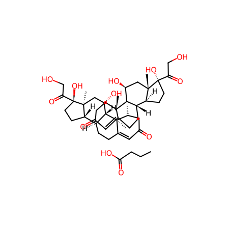 CCCC(=O)O.C[C@]12CCC(=O)C=C1CC[C@H]1[C@@H]3CC[C@](O)(C(=O)CO)[C@@]3(C)C[C@H](O)[C@@]12C1CC(=O)C=C2CC[C@@H]3[C@H]([C@@H](O)C[C@@]4(C)[C@H]3CC[C@]4(O)C(=O)CO)[C@]21C